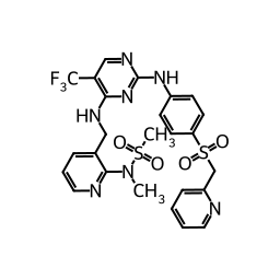 CN(c1ncccc1CNc1nc(Nc2ccc(S(=O)(=O)Cc3ccccn3)cc2)ncc1C(F)(F)F)S(C)(=O)=O